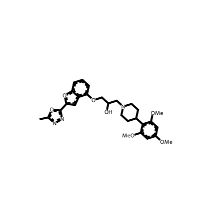 COc1cc(OC)c(C2CCN(CC(O)COc3cccc4oc(-c5nnc(C)o5)cc34)CC2)c(OC)c1